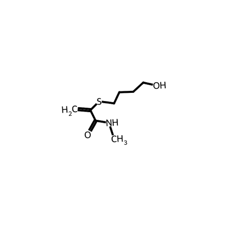 C=C(SCCCCO)C(=O)NC